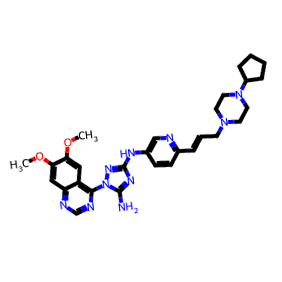 COc1cc2ncnc(-n3nc(Nc4ccc(/C=C/CN5CCN(C6CCCC6)CC5)nc4)nc3N)c2cc1OC